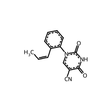 C/C=C\c1ccccc1-n1cc(C#N)c(=O)[nH]c1=O